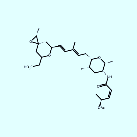 CC(=O)O[C@@H](C)/C=C\C(=O)N[C@@H]1C[C@H](C)[C@H](C/C=C(C)/C=C/[C@@H]2C[C@]3(CC(CC(=O)O)O2)O[C@@H]3C)O[C@@H]1C